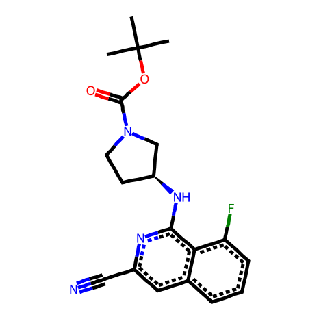 CC(C)(C)OC(=O)N1CC[C@H](Nc2nc(C#N)cc3cccc(F)c23)C1